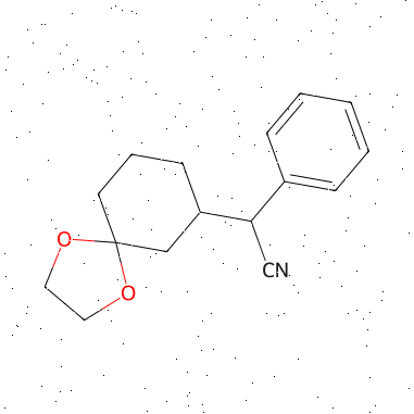 N#CC(c1ccccc1)C1CCCC2(C1)OCCO2